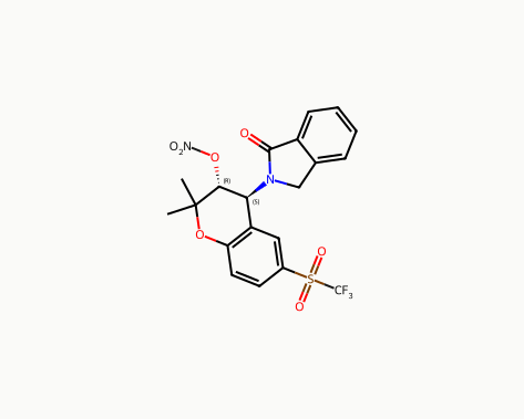 CC1(C)Oc2ccc(S(=O)(=O)C(F)(F)F)cc2[C@H](N2Cc3ccccc3C2=O)[C@H]1O[N+](=O)[O-]